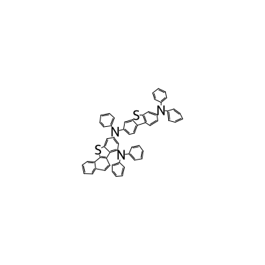 c1ccc(N(c2ccccc2)c2ccc3c(c2)sc2cc(N(c4ccccc4)c4cc(N(c5ccccc5)c5ccccc5)c5c(c4)sc4c6ccccc6ccc45)ccc23)cc1